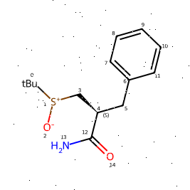 CC(C)(C)[S+]([O-])C[C@@H](Cc1ccccc1)C(N)=O